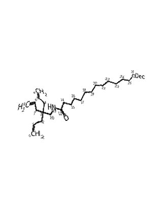 C=CCC(CC=C)(CC=C)CNC(=O)CCCCCCCCCCCCCCCCCCCCCC